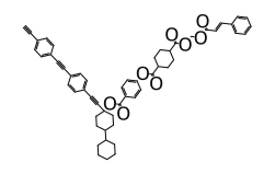 C#Cc1ccc(C#Cc2ccc(C#CC3(OC(=O)c4ccc(OC(=O)C5CCC(C(=O)OCOC(=O)/C=C/c6ccccc6)CC5)cc4)CCC(C4CCCCC4)CC3)cc2)cc1